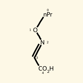 CCCO/N=C/C(=O)O